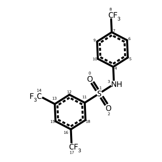 O=S(=O)(Nc1ccc(C(F)(F)F)cc1)c1cc(C(F)(F)F)cc(C(F)(F)F)c1